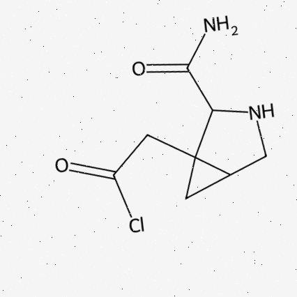 NC(=O)C1NCC2CC21CC(=O)Cl